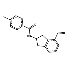 C=Cc1cccc2c1CC(NC(=O)c1ccc(F)cc1)C2